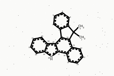 CC1(C)c2ccccc2-c2c1c1ccccc1c1[nH]c3ccccc3c21